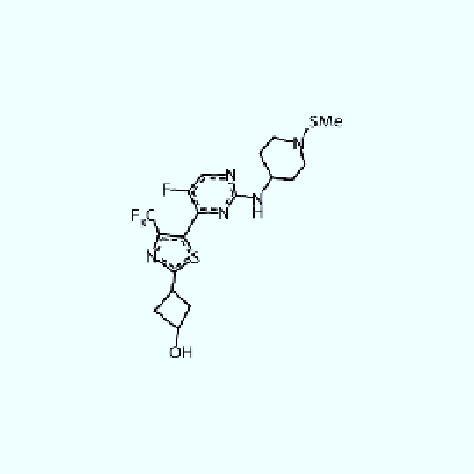 CSN1CCC(Nc2ncc(F)c(-c3sc(C4CC(O)C4)nc3C(F)(F)F)n2)CC1